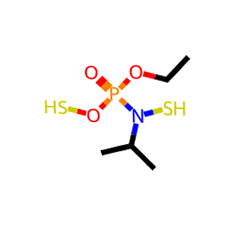 CCOP(=O)(OS)N(S)C(C)C